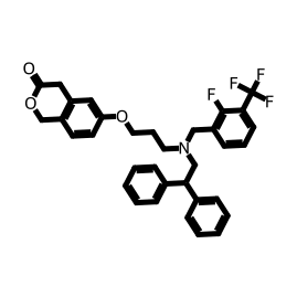 O=C1Cc2cc(OCCCN(Cc3cccc(C(F)(F)F)c3F)CC(c3ccccc3)c3ccccc3)ccc2CO1